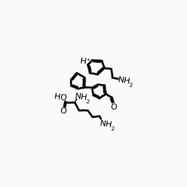 NCCCC[C@H](N)C(=O)O.NCCc1ccccc1.O=Cc1ccc(-c2ccccc2)cc1.[H+]